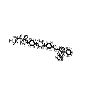 CC(N)C(C)n1ncn(-c2ccc(N3CCN(c4ccc(OCC5COC(Cn6nccn6)(c6ccccc6)O5)cc4)CC3)cc2)c1=O